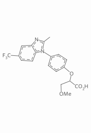 COCC(Oc1ccc(-n2c(C)nc3cc(C(F)(F)F)ccc32)cc1)C(=O)O